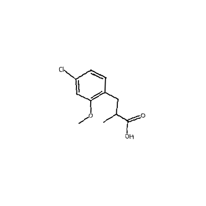 COc1cc(Cl)ccc1CC(C)C(=O)O